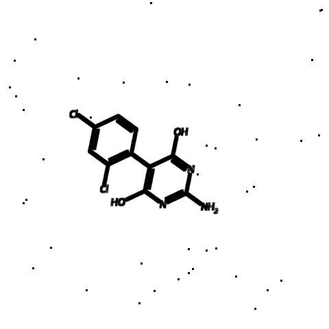 Nc1nc(O)c(-c2ccc(Cl)cc2Cl)c(O)n1